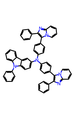 c1ccc(-c2nc3ccccn3c2-c2ccc(N(c3ccc(-c4c(-c5ccccc5)nc5ccccn45)cc3)c3ccc4c(c3)c3ccccc3n4-c3ccccc3)cc2)cc1